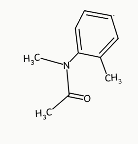 CC(=O)N(C)c1cc[c]cc1C